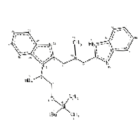 CCCCC(CO[Si](C)(C)C(C)(C)C)n1c(CN(C)Cc2nc3ccccc3[nH]2)nc2ccccc21